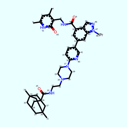 Cc1cc(C)c(CNC(=O)c2cc(-c3ccc(N4CCN(CCNC(=O)C56CC7CC(C)(CC(C)(C7)C5)C6)CC4)nc3)cc3c2cnn3C(C)C)c(=O)[nH]1